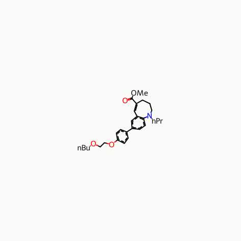 CCCCOCCOc1ccc(-c2ccc3c(c2)C=C(C(=O)OC)CCCN3CCC)cc1